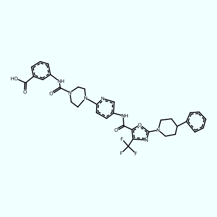 O=C(O)c1cccc(NC(=O)N2CCN(c3ccc(NC(=O)c4oc(N5CCC(c6ccccc6)CC5)nc4C(F)(F)F)cn3)CC2)c1